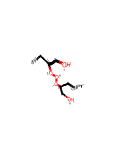 CC(C)CC(CO)OOOC(CO)CC(C)C